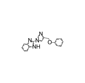 c1ccc(OCc2cn(-c3nc4ccccc4[nH]3)cn2)cc1